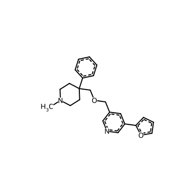 CN1CCC(COCc2cncc(-c3ccco3)c2)(c2ccccc2)CC1